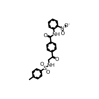 Cc1ccc(S(=O)(=O)NCC(=O)c2ccc(C(=O)Nc3ccccc3[N+](=O)[O-])cc2)cc1